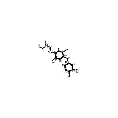 CCN(C)C=Nc1cc(C)c(Cc2ccc(C)c(Cl)c2)cc1C